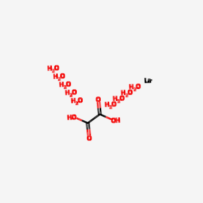 O.O.O.O.O.O.O.O.O.O=C(O)C(=O)O.[La]